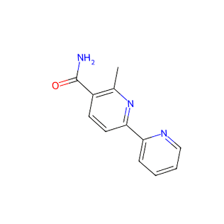 Cc1nc(-c2ccccn2)ccc1C(N)=O